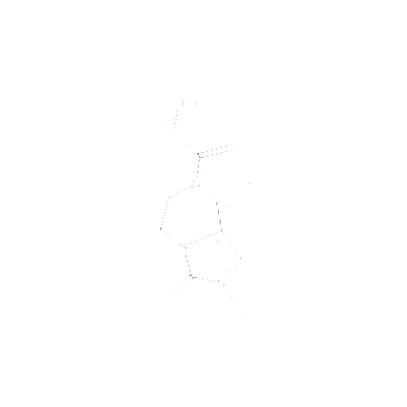 CC(=O)[C@@H]1[C@H]2CN(C)C(=S)N2CCN1C(=O)OC(C)(C)C